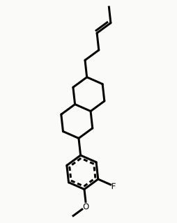 CC=CCCC1CCC2CC(c3ccc(OC)c(F)c3)CCC2C1